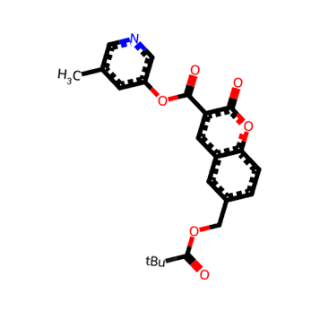 Cc1cncc(OC(=O)c2cc3cc(COC(=O)C(C)(C)C)ccc3oc2=O)c1